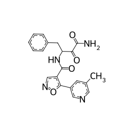 Cc1cncc(-c2oncc2C(=O)NC(Cc2ccccc2)C(=O)C(N)=O)c1